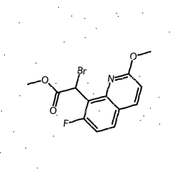 COC(=O)C(Br)c1c(F)ccc2ccc(OC)nc12